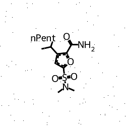 CCCCCC(C)c1cc(S(=O)(=O)N(C)C)oc1C(N)=O